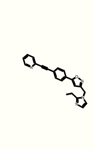 CCc1nccn1Cc1cc(-c2ccc(C#Cc3ccccn3)cc2)on1